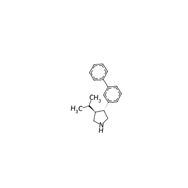 CC(C)[C@@H]1CNC[C@H]1c1cccc(-c2ccccc2)c1